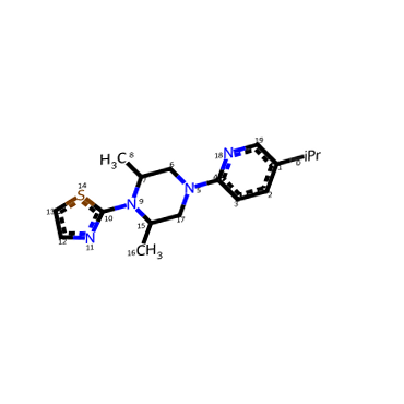 CC(C)c1ccc(N2CC(C)N(c3nccs3)C(C)C2)nc1